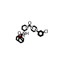 O=C(N1CCN(c2cccc(Cl)c2)CC1)N1CCC[C@H](NC(=O)C23CC4CC(C2)C(O)C(C4)C3)C1